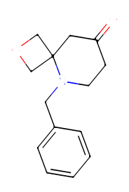 O=C1CCN(Cc2ccccc2)C2(COC2)C1